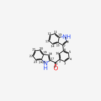 O=C(c1cccc(-c2c[nH]c3ccccc23)c1)c1cc2ccccc2[nH]1